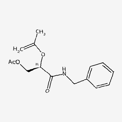 C=C(C)O[C@H](COC(C)=O)C(=O)NCc1ccccc1